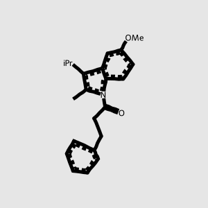 COc1ccc2c(c1)c(C(C)C)c(C)n2C(=O)CCc1ccccc1